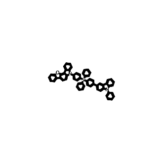 c1ccc(-n2c3ccccc3c3cc(-c4ccc([Si](c5ccccc5)(c5ccccc5)c5ccc(-n6c7ccccc7c7c8oc9ccccc9c8ccc76)cc5)cc4)ccc32)cc1